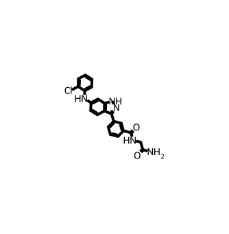 NC(=O)CNC(=O)c1cccc(-c2n[nH]c3cc(Nc4ccccc4Cl)ccc23)c1